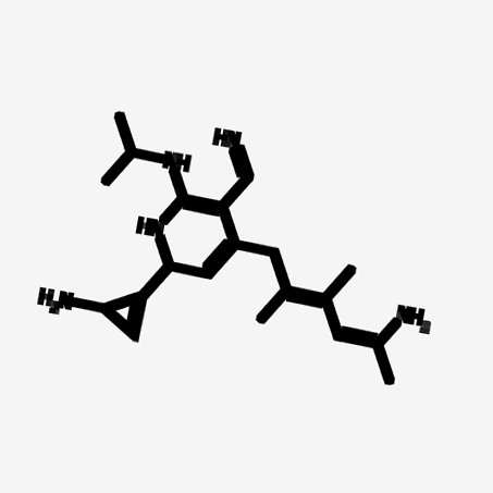 C/C(N)=C/C(C)=C(\C)CC1=CC(C2=CC2N)NC(NC(C)C)=C1C=N